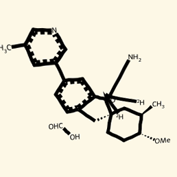 O=CO.[2H]C1([2H])OC(N)=N[C@]12c1cc(-c3cncc(C)c3)ccc1C[C@]21CC[C@@H](OC)[C@H](C)C1